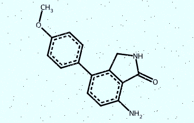 COc1ccc(-c2ccc(N)c3c2CNC3=O)cc1